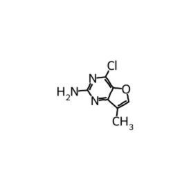 Cc1coc2c(Cl)nc(N)nc12